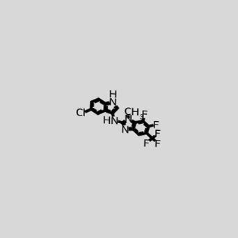 Cn1c(Nc2c[nH]c3ccc(Cl)cc23)nc2cc(C(F)(F)F)c(F)c(F)c21